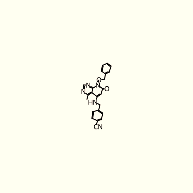 Cc1ncnc2c1c(NCc1ccc(C#N)cc1)cc(=O)n2OCc1ccccc1